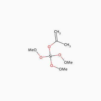 C=C(C)O[Si](OOC)(OOC)OOC